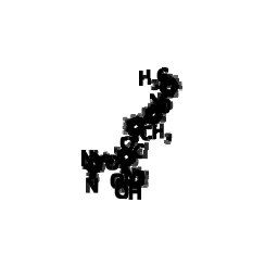 Cc1c(COc2cc(OCc3cncc(C#N)c3)c(CN3CCCC[C@H]3C(=O)O)cc2Cl)cccc1-c1ccc2oc(C3CCCN(C)C3)nc2c1